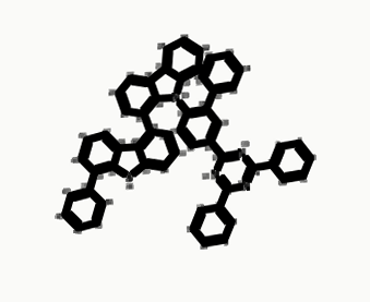 c1ccc(-c2nc(-c3ccccc3)nc(-c3ccc(-n4c5ccccc5c5cccc(-c6cccc7sc8c(-c9ccccc9)cccc8c67)c54)c(-c4ccccc4)c3)n2)cc1